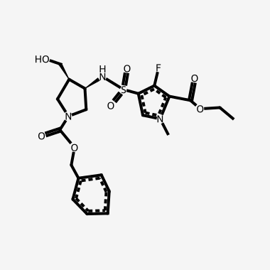 CCOC(=O)c1c(F)c(S(=O)(=O)N[C@H]2CN(C(=O)OCc3ccccc3)C[C@H]2CO)cn1C